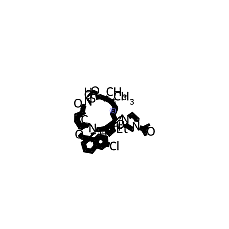 CCO[C@]1(CN2CCN(C3COC3)CC2)/C=C/[C@H](C)[C@H](C)CS(=O)(=O)NC(=O)c2ccc3c(c2)N(C[C@@H]2CC[C@H]21)C[C@@]1(CCCc2cc(Cl)ccc21)CO3